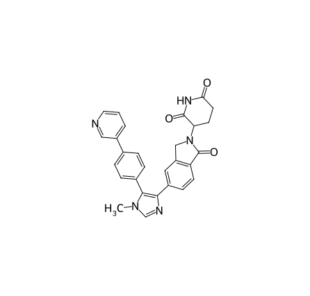 Cn1cnc(-c2ccc3c(c2)CN(C2CCC(=O)NC2=O)C3=O)c1-c1ccc(-c2cccnc2)cc1